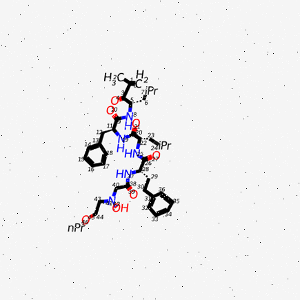 C=C(C)C(=O)[C@H](CC(C)C)NC(=O)[C@H](Cc1ccccc1)NC(=O)[C@H](CC(C)C)NC(=O)[C@H](CCc1ccccc1)NC(=O)CN(O)CCOCCC